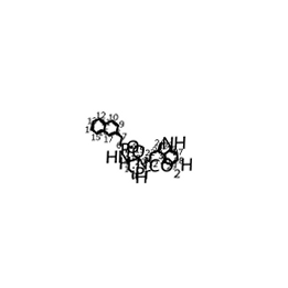 CC(C)C[C@H](N[PH](=O)CCc1ccc2ccccc2c1)C(=O)N[C@@H](Cc1c[nH]c2ccccc12)C(=O)O